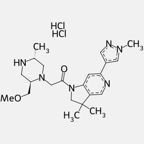 COC[C@H]1CN[C@H](C)CN1CC(=O)N1CC(C)(C)c2cnc(-c3cnn(C)c3)cc21.Cl.Cl